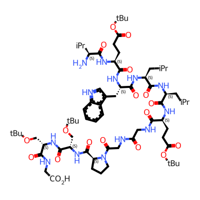 CC(C)C[C@H](NC(=O)[C@H](CC(C)C)NC(=O)[C@H](Cc1c[nH]c2ccccc12)NC(=O)[C@H](CCC(=O)OC(C)(C)C)NC(=O)[C@@H](N)C(C)C)C(=O)N[C@@H](CCC(=O)OC(C)(C)C)C(=O)NCC(=O)NCC(=O)N1CCC[C@H]1C(=O)N[C@@H](COC(C)(C)C)C(=O)N[C@@H](COC(C)(C)C)C(=O)NCC(=O)O